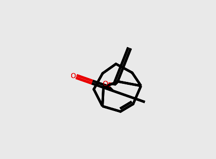 C=C1OC(=O)C2C3C=CC(CCCC3)C12